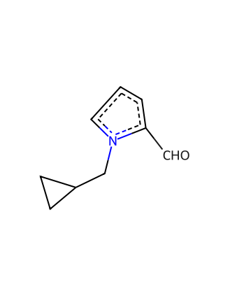 O=Cc1cccn1CC1CC1